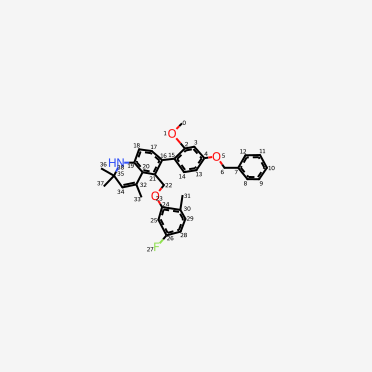 COc1cc(OCc2ccccc2)ccc1-c1ccc2c(c1COc1cc(F)ccc1C)C(C)=CC(C)(C)N2